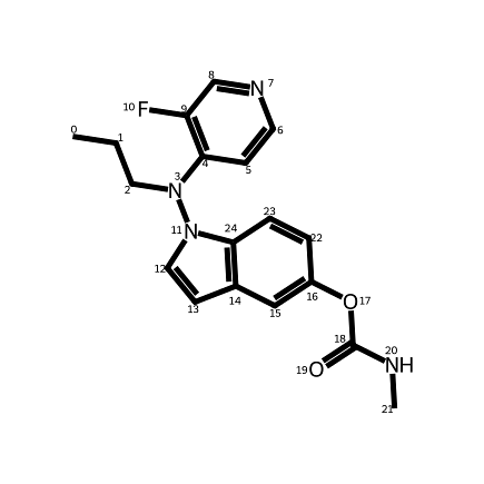 CCCN(c1ccncc1F)n1ccc2cc(OC(=O)NC)ccc21